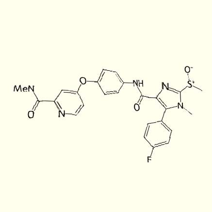 CNC(=O)c1cc(Oc2ccc(NC(=O)c3nc([S+](C)[O-])n(C)c3-c3ccc(F)cc3)cc2)ccn1